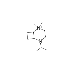 CC(C)N1CC[N+](C)(C)C2CCC21